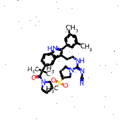 Cc1cc(C)cc(-c2[nH]c3ccc(C(C)(C)C(=O)N4CCCC4)cc3c2CCN/C(=N/C#N)N2CCC(S(C)(=O)=O)C2)c1